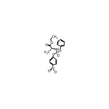 CCOC(=O)[C@H](C)NP(=O)(Oc1ccccc1)Oc1ccc([N+](=O)[O-])cc1